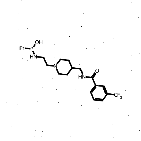 CC(C)P(O)NCCN1CCC(CNC(=O)c2cccc(C(F)(F)F)c2)CC1